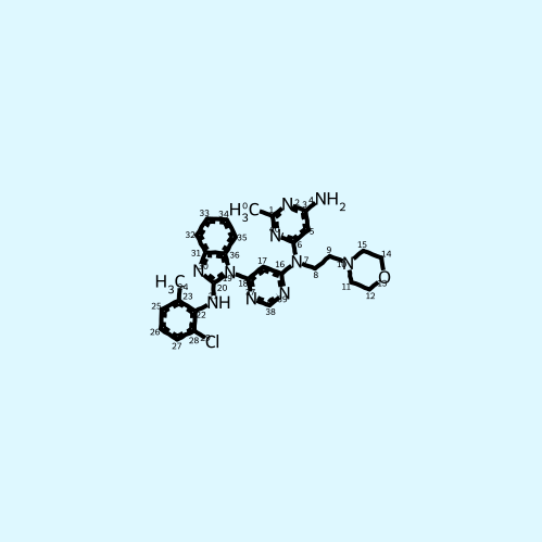 Cc1nc(N)cc(N(CCN2CCOCC2)c2cc(-n3c(Nc4c(C)cccc4Cl)nc4ccccc43)ncn2)n1